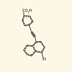 CCc1ccc(C#Cc2ccc(C(=O)O)cc2)c2ccccc12